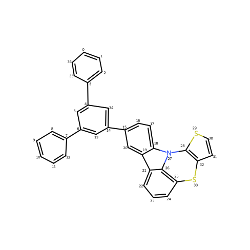 c1ccc(-c2cc(-c3ccccc3)cc(-c3ccc4c(c3)c3cccc5c3n4-c3sccc3S5)c2)cc1